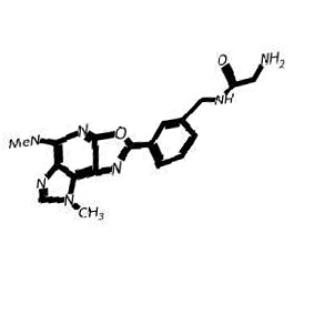 CNc1nc2oc(-c3cccc(CNC(=O)CN)c3)nc2c2c1ncn2C